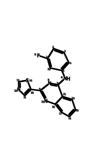 Fc1cccc(Nc2nc(-c3cncs3)nc3ccccc23)c1